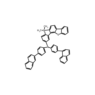 C[Si]1(C)c2ccc(N(c3ccc(-c4ccc5ccccc5c4)cc3)c3ccc(-c4cccc5ccccc45)cc3)cc2-c2c1ccc1c2sc2ccccc21